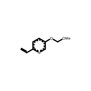 C=Cc1ccc(OCOC)cn1